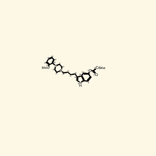 COC(=O)Oc1ccc2[nH]cc(CCCCN3CCN(c4ccccc4OC)CC3)c2c1